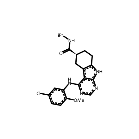 COc1ccc(Cl)cc1Nc1ncnc2[nH]c3c(c12)C[C@@H](C(=O)NC(C)C)CC3